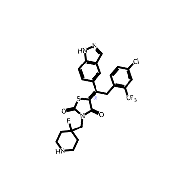 O=C1S/C(=C(/Cc2ccc(Cl)cc2C(F)(F)F)c2ccc3[nH]ncc3c2)C(=O)N1CC1(F)CCNCC1